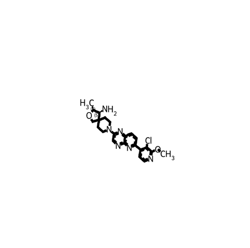 COc1nccc(-c2ccc3nc(N4CCC5(CC4)CO[C@@H](C)[C@H]5N)cnc3n2)c1Cl